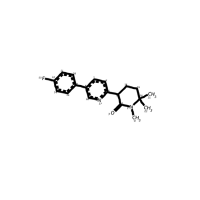 CN1C(=O)C(c2ccc(-c3ccc(F)cc3)cn2)CCC1(C)C